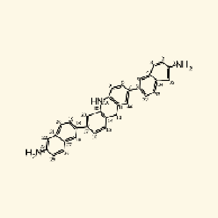 Nc1ccc2cc(-c3ccc4c(c3)Cc3ccc(-c5ccc6cc(N)ccc6c5)cc3N4)ccc2c1